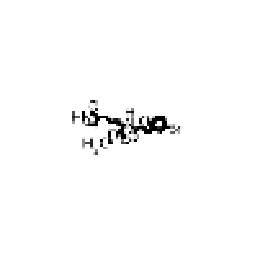 CCOC(=O)C(=CCC[C@H]1CCNC1=O)NC(=O)c1cc2cc(Br)ccc2o1